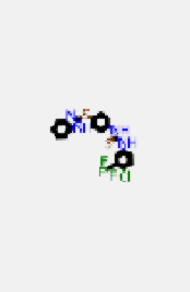 FC(F)(F)c1cc(NC(=S)Nc2ccc(Sc3nc4ccccc4[nH]3)cc2)ccc1Cl